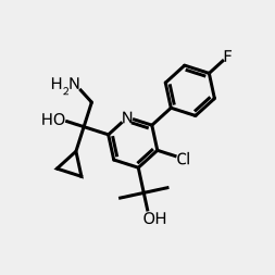 CC(C)(O)c1cc(C(O)(CN)C2CC2)nc(-c2ccc(F)cc2)c1Cl